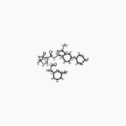 CC(=O)c1nn(CC(=O)N2[C@H]3C[C@@]3(C)C[C@H]2C(=O)Nc2cccc(Br)n2)c2ccc(-c3cnc(C)nc3)cc12